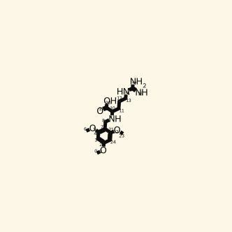 COc1cc(OC)c(CNC(CCCNC(=N)N)C(=O)O)c(OC)c1